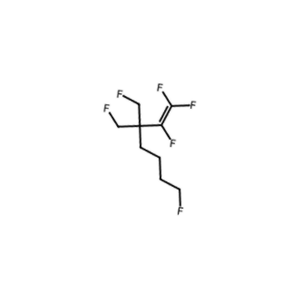 FCCCCC(CF)(CF)C(F)=C(F)F